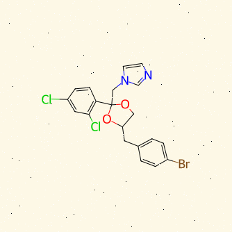 Clc1ccc(C2(Cn3ccnc3)OCC(Cc3ccc(Br)cc3)O2)c(Cl)c1